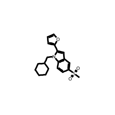 CS(=O)(=O)c1ccc2c(c1)cc(-c1ccco1)n2CC1CCCCC1